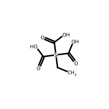 C[CH][Si](C(=O)O)(C(=O)O)C(=O)O